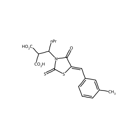 CCCC(C(C(=O)O)C(=O)O)N1C(=O)/C(=C/c2cccc(C)c2)SC1=S